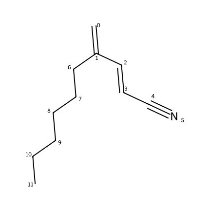 C=C(C=CC#N)CCCCCC